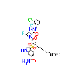 CCCCCCCCCCCCCCCCC1CC1(CC(=O)N1C[C@H](F)C[C@H]1C(=O)NCc1cccc(Cl)c1F)S(=O)(=O)c1c[nH]c2cc(C(N)=O)ccc12